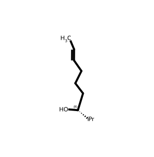 CC=CCCC[C@@H](O)C(C)C